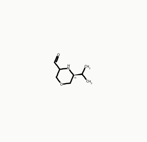 CC(C)[C@H]1COCC(C=O)N1